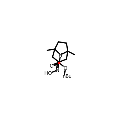 CCCCOC(=O)N1C2(C)CCC1(C)CC(=NO)C2